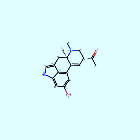 CC(=O)[C@@H]1C=C2c3cc(O)cc4[nH]cc(c34)C[C@H]2N(C)C1